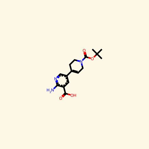 CC(C)(C)OC(=O)N1CC=C(c2cnc(N)c(C(=O)O)c2)CC1